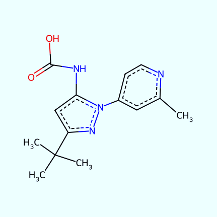 Cc1cc(-n2nc(C(C)(C)C)cc2NC(=O)O)ccn1